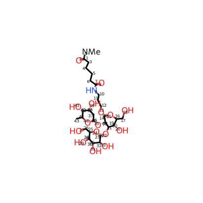 CNC(=O)CCCCC(=O)NCCCO[C@@H]1OC(CO)[C@H](O)C(O[C@H]2OC(CO)[C@H](O)[C@H](O)C2O)[C@@H]1O[C@H]1C[C@@H](O)[C@H](O)C(C)O1